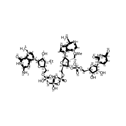 CC[C@H]1[C@@H](O)[C@H](n2c[n+](C)c3c(=O)[nH]c(N)nc32)O[C@@H]1COP(=O)(O)OP(=O)(O)OP(=O)(O)OC[C@H]1O[C@@H](n2cnc3c(N)ncnc32)[C@H](COC)[C@@H]1OP(=O)([O-])OC[C@H]1O[C@@H](n2ccc(=O)[nH]c2=O)[C@H](O)[C@@H]1O